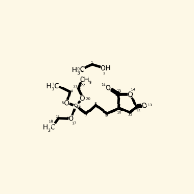 CCO.CCO[Si](CCCC1CC(=O)OC1=O)(OCC)OCC